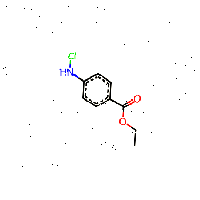 CCOC(=O)c1ccc(NCl)cc1